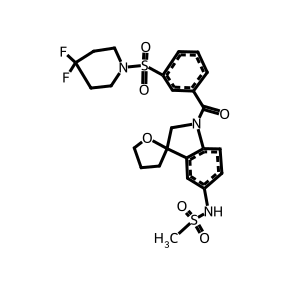 CS(=O)(=O)Nc1ccc2c(c1)C1(CCCO1)CN2C(=O)c1cccc(S(=O)(=O)N2CCC(F)(F)CC2)c1